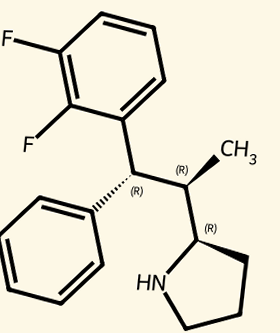 C[C@H]([C@H](c1ccccc1)c1cccc(F)c1F)[C@H]1CCCN1